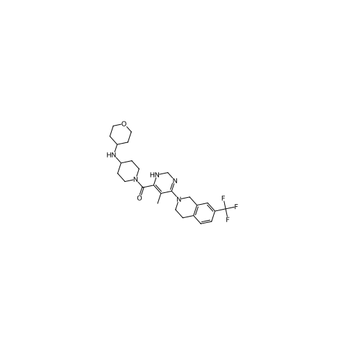 CC1=C(C(=O)N2CCC(NC3CCOCC3)CC2)NCN=C1N1CCc2ccc(C(F)(F)F)cc2C1